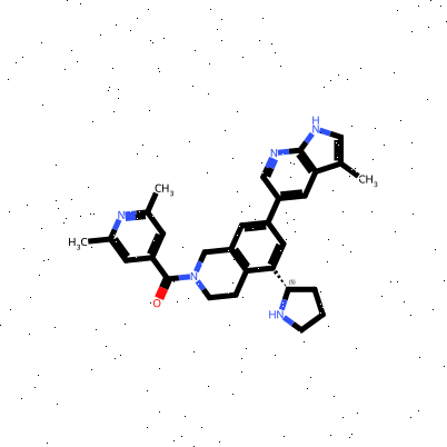 Cc1cc(C(=O)N2CCc3c(cc(-c4cnc5[nH]cc(C)c5c4)cc3[C@@H]3CCCN3)C2)cc(C)n1